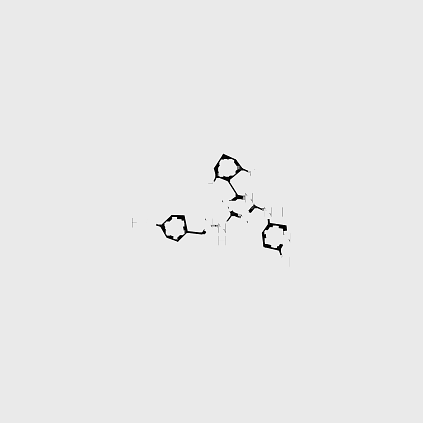 Fc1cccc(Cl)c1-c1nc(NN=Cc2ccc(C(F)(F)F)cc2)nc(Nc2ccc(Cl)nc2)n1